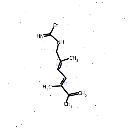 C=C(C)/C(C)=C/C=C(\C)CNC(=N)CC